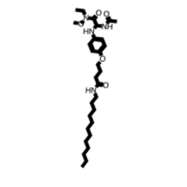 CCCCCCCCCCCCNC(=O)CCCOc1ccc(NC(NC(C)=O)C(=O)N(CC)OC)cc1